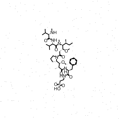 CC[C@H](C)[C@@H]([C@@H](CC(=O)N1CCC[C@H]1[C@H](OC)[C@@H](C)C(=O)N[C@@H](Cc1ccccc1)C(=O)NCCS(=O)(=O)O)OC)N(C)C(=O)[C@@H](NC(=O)[C@@H](NC)C(C)C)C(C)C